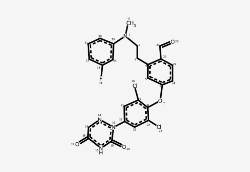 CN(CCc1cc(Oc2c(Cl)cc(-n3ncc(=O)[nH]c3=O)cc2Cl)ccc1C=O)c1cccc(F)c1